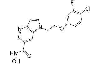 O=C(NO)c1cnc2ccn(CCOc3ccc(Cl)c(F)c3)c2c1